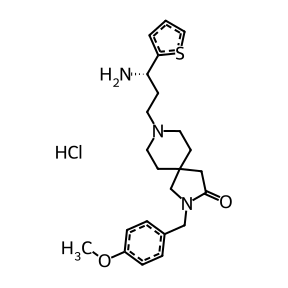 COc1ccc(CN2CC3(CCN(CC[C@H](N)c4cccs4)CC3)CC2=O)cc1.Cl